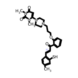 Cc1ccc(/C=C/C(=O)c2ccccc2OCCCN2CCN(c3cc(=O)n(C)c(=O)n3C)CC2)c(S)c1